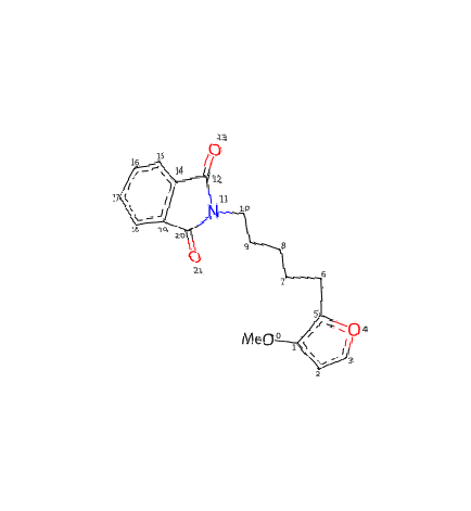 COc1ccoc1CCCCCN1C(=O)c2ccccc2C1=O